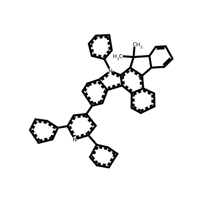 CC1(C)c2c(c3ccccc3c3c4cc(-c5cc(-c6ccccc6)nc(-c6ccccc6)c5)ccc4n(-c4ccccc4)c23)C2C=CC=CC21